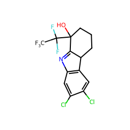 OC1(C(F)(F)C(F)(F)F)CCCC2C1=Nc1cc(Cl)c(Cl)cc12